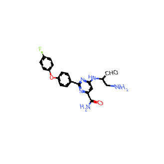 NCC(C=O)Nc1cc(C(N)=O)nc(-c2ccc(Oc3ccc(F)cc3)cc2)n1